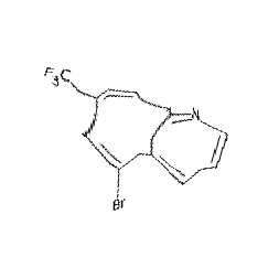 FC(F)(F)c1cc(Br)c2cccnc2c1